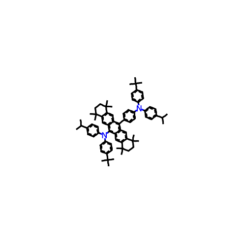 CC(C)c1ccc(N(c2ccc(-c3c4cc5c(cc4c(N(c4ccc(C(C)C)cc4)c4ccc(C(C)(C)C)cc4)c4cc6c(cc34)C(C)(C)CCC6(C)C)C(C)(C)CCC5(C)C)cc2)c2ccc(C(C)(C)C)cc2)cc1